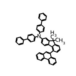 CC1(C)c2cc(N(c3ccc(-c4ccccc4)cc3)c3ccc(-c4ccccc4)cc3)ccc2-c2c(-c3cc4ccccc4c4ccccc34)cccc21